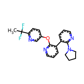 CC(F)(F)c1ccc(Oc2ncccc2-c2cccnc2N2CCCC2)cn1